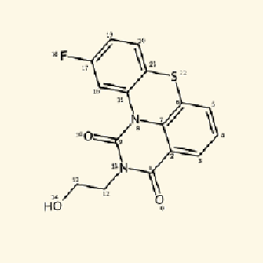 O=c1c2cccc3c2n(c(=O)n1CCO)-c1cc(F)ccc1S3